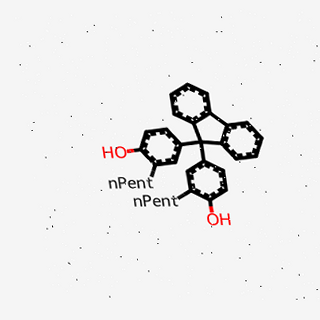 CCCCCc1cc(C2(c3ccc(O)c(CCCCC)c3)c3ccccc3-c3ccccc32)ccc1O